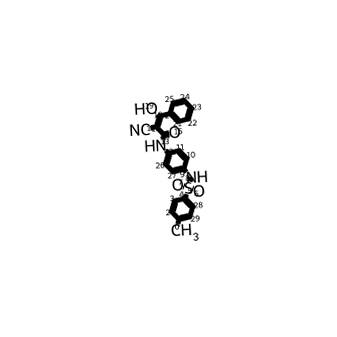 Cc1ccc(S(=O)(=O)Nc2ccc(NC(=O)/C(C#N)=C(/O)c3ccccc3)cc2)cc1